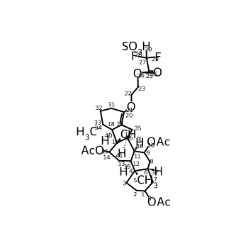 CC(=O)OC1CC[C@@]2(C)[C@@H](C1)CC(OC(C)=O)[C@@H]1[C@@H]2CC(OC(C)=O)[C@]2(C)[C@@H]3C(=C(OCCOC(=O)C(F)(F)S(=O)(=O)O)CC[C@H]3C)C[C@@H]12